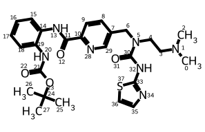 CN(C)CCN(Cc1ccc(C(=O)Nc2ccccc2NC(=O)OC(C)(C)C)nc1)C(=O)Nc1nccs1